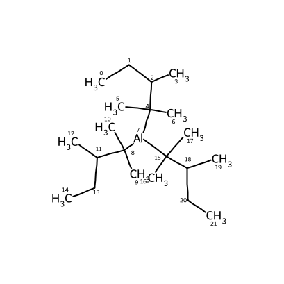 CCC(C)[C](C)(C)[Al]([C](C)(C)C(C)CC)[C](C)(C)C(C)CC